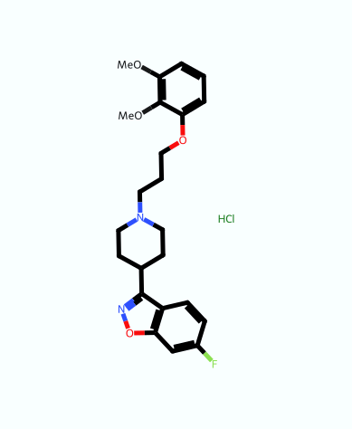 COc1cccc(OCCCN2CCC(c3noc4cc(F)ccc34)CC2)c1OC.Cl